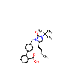 CCC=Cc1cn(C(C)(C)C)c(=O)n1Cc1ccc(-c2ccccc2C(=O)O)cc1